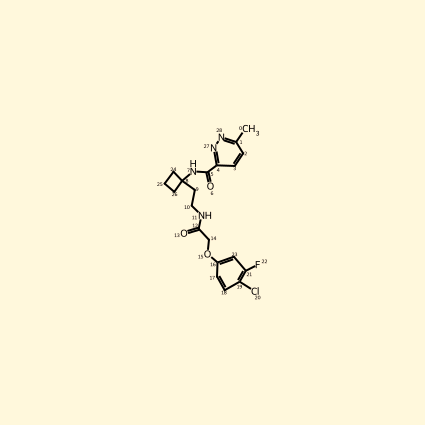 Cc1ccc(C(=O)NC2(CCNC(=O)COc3ccc(Cl)c(F)c3)CCC2)nn1